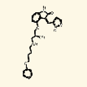 O=C1Nc2cccc(OCC(O)CNCCCCOc3ccccc3)c2C1=Cc1ccn[nH]1